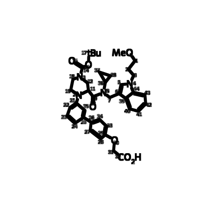 COCCCn1cc(CN(C(=O)C2CN(C(=O)OC(C)(C)C)CCN2c2cccc(-c3ccc(OCC(=O)O)cc3)c2)C2CC2)c2ccccc21